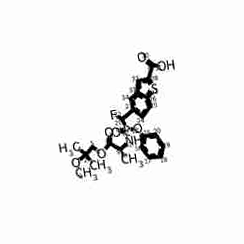 COC(C)(C)COC(=O)[C@H](C)NP(=O)(Oc1ccccc1)C(F)c1ccc2sc(C(=O)O)cc2c1